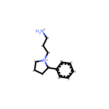 NCCCN1CCCC1c1ccccc1